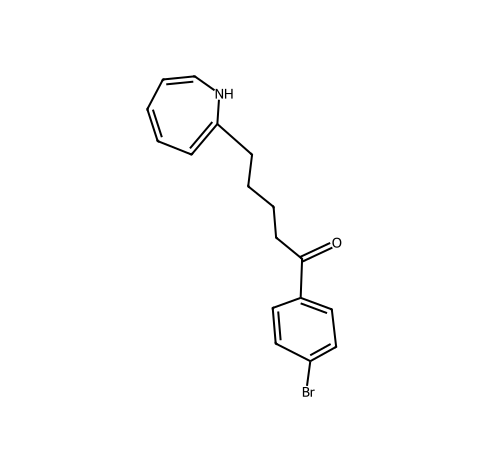 O=C(CCCCC1=CC=CC=CN1)c1ccc(Br)cc1